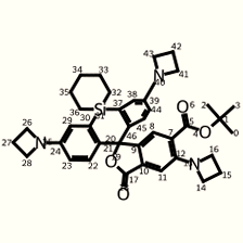 CC(C)(C)OC(=O)c1cc2c(cc1N1CCC1)C(=O)OC21c2ccc(N3CCC3)cc2[Si]2(CCCCC2)c2cc(N3CCC3)ccc21